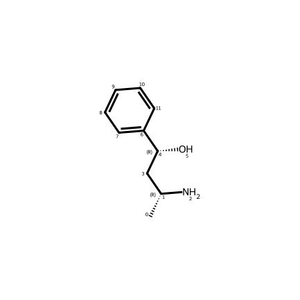 C[C@@H](N)C[C@@H](O)c1ccccc1